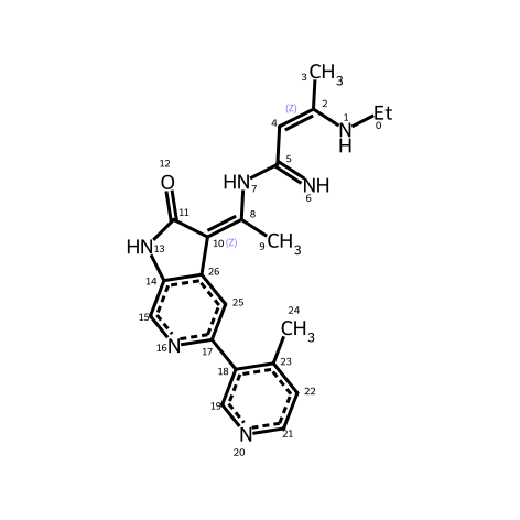 CCN/C(C)=C\C(=N)N/C(C)=C1\C(=O)Nc2cnc(-c3cnccc3C)cc21